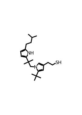 CC(C)CCc1ccc(C(C)(C)Cn2cc(CCS)cc2C(C)(C)C)[nH]1